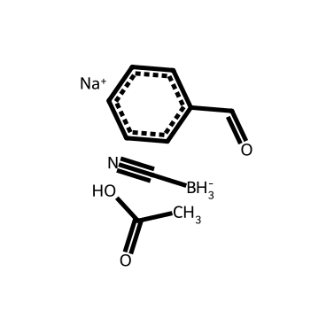 CC(=O)O.O=Cc1ccccc1.[BH3-]C#N.[Na+]